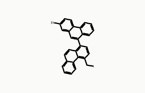 CCc1ccc2c(c1)cc(-c1ccc(CI)c3c1ccc1ccccc13)c1ccccc12